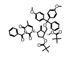 C=C1[C@@H](n2cc(C)c(=O)n(C(=O)c3ccccc3)c2=O)C[C@H](OC(=O)C(C)(C)C)[C@]1(COC(=O)C(C)(C)C)COC(c1ccccc1)(c1ccc(OC)cc1)c1ccc(OC)cc1